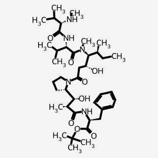 CC[C@H](C)[C@@H]([C@H](O)CC(=O)N1CCC[C@H]1[C@H](O)[C@@H](C)C(=O)N[C@@H](Cc1ccccc1)C(=O)OC(C)(C)C)N(C)C(=O)[C@@H](NC(=O)[C@@H](NC)C(C)C)C(C)C